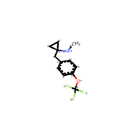 CNC1(Cc2ccc(OC(F)(F)F)cc2)CC1